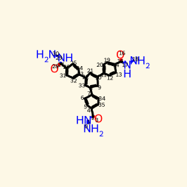 NNC(=O)c1ccc(-c2cc(-c3ccc(C(=O)NN)cc3)cc(-c3ccc(C(=O)NN)cc3)c2)cc1